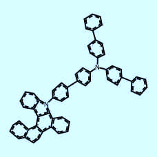 c1ccc(-c2ccc(N(c3ccc(-c4ccccc4)cc3)c3ccc(-c4ccc(-n5c6ccccc6c6c7c8ccccc8ccc7c7ccccc7c65)cc4)cc3)cc2)cc1